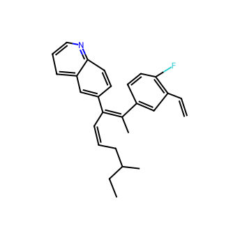 C=Cc1cc(/C(C)=C(/C=C\CC(C)CC)c2ccc3ncccc3c2)ccc1F